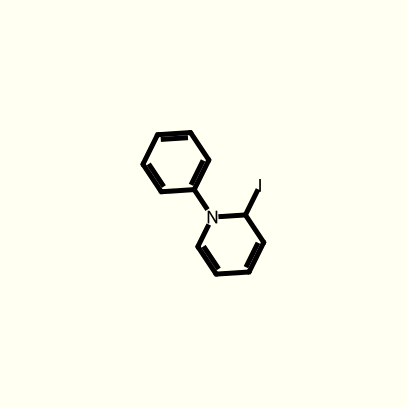 IC1C=CC=CN1c1ccccc1